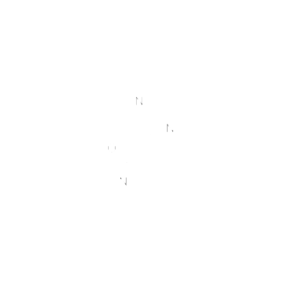 CN(C)C(=O)CC1C[N]CCN1C